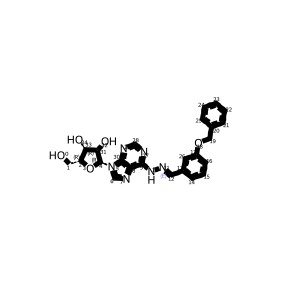 OC[C@H]1O[C@@H](n2cnc3c(N/N=C/c4cccc(OCc5ccccc5)c4)ncnc32)C(O)[C@H]1O